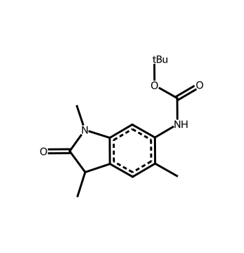 Cc1cc2c(cc1NC(=O)OC(C)(C)C)N(C)C(=O)C2C